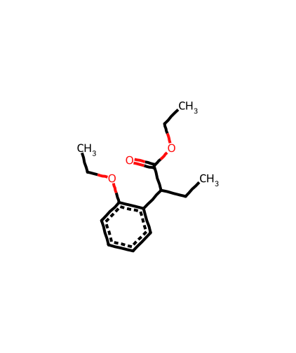 CCOC(=O)C(CC)c1ccccc1OCC